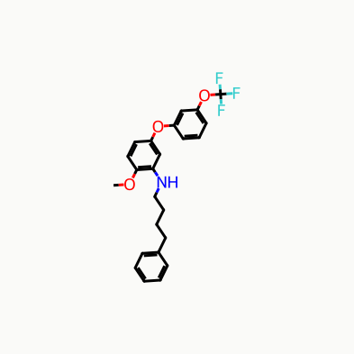 COc1ccc(Oc2cccc(OC(F)(F)F)c2)cc1NCCCCc1ccccc1